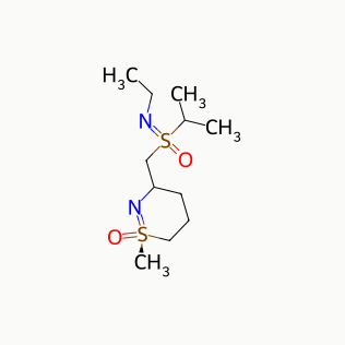 CCN=S(=O)(CC1CCC[S@](C)(=O)=N1)C(C)C